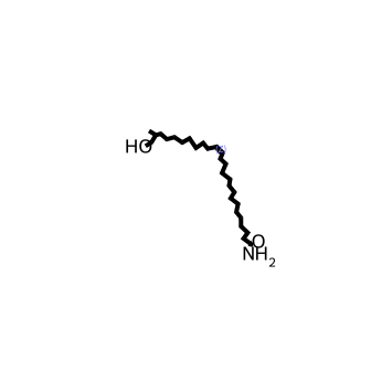 CC(CO)CCCCCCCC/C=C\CCCCCCCCCCCCCC(N)=O